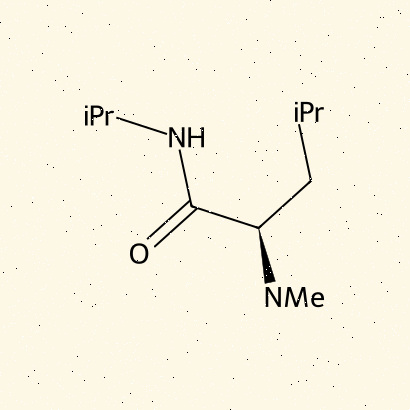 CN[C@H](CC(C)C)C(=O)NC(C)C